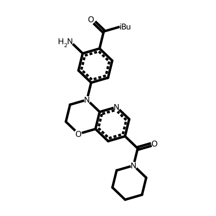 CCC(C)C(=O)c1ccc(N2CCOc3cc(C(=O)N4CCCCC4)cnc32)cc1N